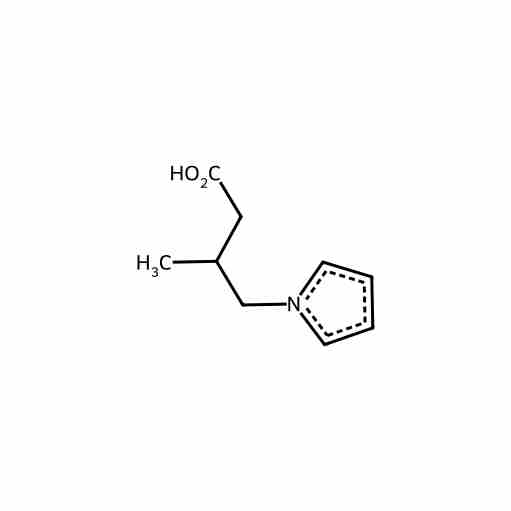 CC(CC(=O)O)Cn1cccc1